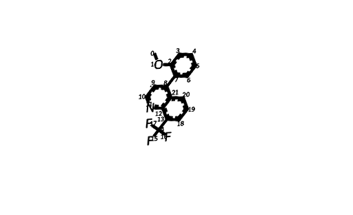 COc1ccccc1-c1[c]cnc2c(C(F)(F)F)cccc12